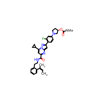 C/C=C(/C)c1ccccc1CCNC(=O)c1cc(C2CC2)n2nc(-c3ccc(N4CC[C@@H](OC(=O)NC)C4)cc3F)cc2n1